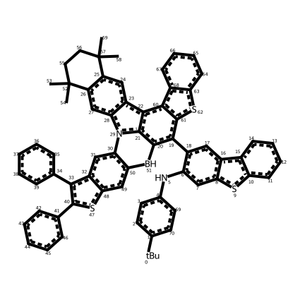 CC(C)(C)c1ccc(Nc2cc3sc4ccccc4c3cc2-c2c3c4c(c5cc6c(cc5n4-c4cc5c(-c7ccccc7)c(-c7ccccc7)sc5cc4B3)C(C)(C)CCC6(C)C)c3c2sc2ccccc23)cc1